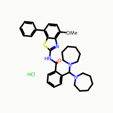 COc1ccc(-c2ccccc2)c2sc(NC(=O)c3ccccc3C(N3CCCCCC3)N3CCCCCC3)nc12.Cl